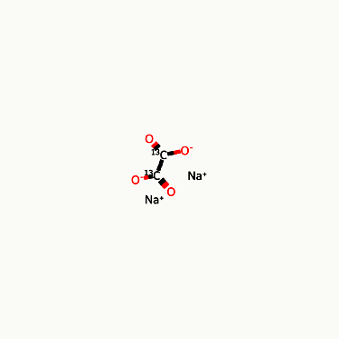 O=[13C]([O-])[13C](=O)[O-].[Na+].[Na+]